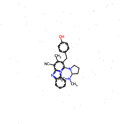 Cc1c(Cc2ccc(O)cc2)c(N2CCCC2N(C)C)n2c(nc3ccccc32)c1C#N